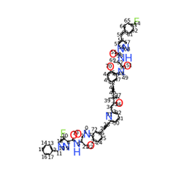 CN1C(=O)[C@H](NC(=O)c2nn(Cc3ccccc3)cc2F)COc2ccc(C#Cc3cccc(CC4OCC4(C)C#Cc4ccc5c(c4)N(C)C(=O)[C@H](NC(=O)n4cc(Cc6ccc(F)cc6)cn4)CO5)n3)cc21